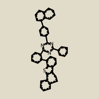 c1ccc(-c2nc(-c3ccc(-c4cccc5ccccc45)cc3)nc(-c3ccccc3-c3cccc4c3sc3c5ccccc5ccc43)n2)cc1